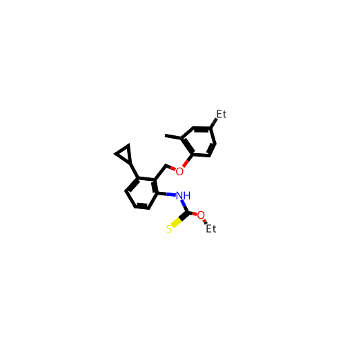 CCOC(=S)Nc1cccc(C2CC2)c1COc1ccc(CC)cc1C